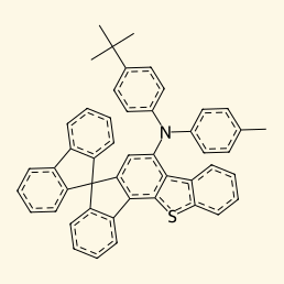 Cc1ccc(N(c2ccc(C(C)(C)C)cc2)c2cc3c(c4sc5ccccc5c24)-c2ccccc2C32c3ccccc3-c3ccccc32)cc1